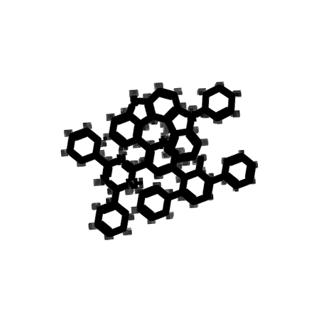 CC1C(c2ccccc2)=CC=C(C2C=CC=CC2)C1c1cnc(-c2cccc3sc4ccc5c(c6ccccc6n5C5C=CCCC5)c4c23)c(C2=NC(C3CC=CCC3)=NC(C3=CC=CCC3)N2)c1